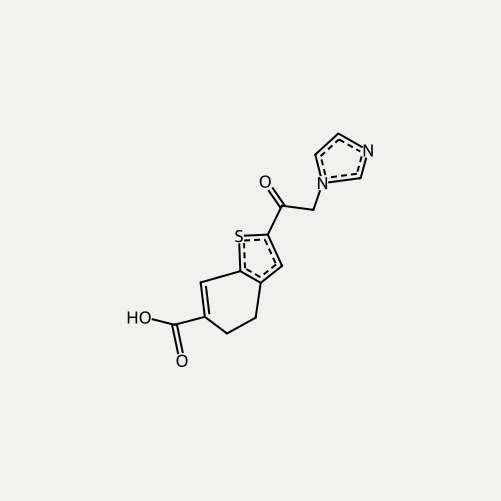 O=C(O)C1=Cc2sc(C(=O)Cn3ccnc3)cc2CC1